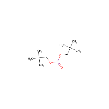 CC(C)(C)CO[PH](=O)OCC(C)(C)C